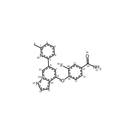 Cc1cccc(-c2cc(Oc3ccc(C(N)=O)cc3F)c3ccnn3c2)n1